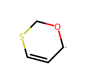 [CH]1C=CSCO1